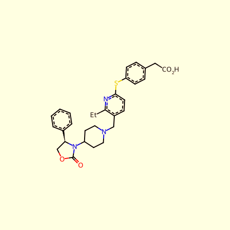 CCc1nc(Sc2ccc(CC(=O)O)cc2)ccc1CN1CCC(N2C(=O)OC[C@H]2c2ccccc2)CC1